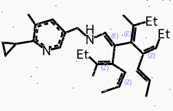 CC=CC(=C/CC)/C(C(=C/NCc1cnc(C2CC2)c(C)c1)/C(/C=C\C)=C(/C)CC)=C(/C)CC